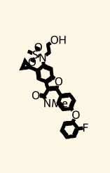 CNC(=O)c1c(-c2ccc(Oc3ccccc3F)cc2)oc2cc(N(CCO)S(C)(=O)=O)c(C3CC3)cc12